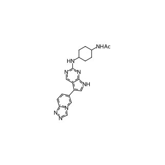 CC(=O)NC1CCC(Nc2ncc3c(-c4ccc5nncn5c4)c[nH]c3n2)CC1